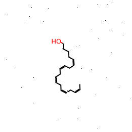 C/C=C\C/C=C\C/C=C\C/C=C\C/C=C\CCCCO